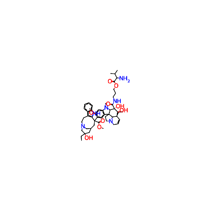 CCC1(O)CC2CN(CCc3c([nH]c4ccccc34)C(C(=O)OC)(c3cc4c(cc3OC)N(C)C3C45CCN4CC=C[C@](CC)(C45)[C@@H](O)[C@]3(O)C(=O)NCCCOC(=O)C(N)C(C)C)C2)C1